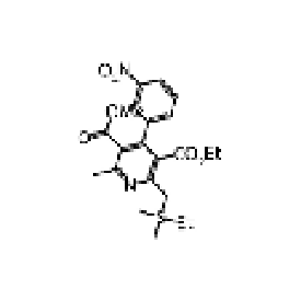 CCOC(=O)c1c(CS(C)(C)CC)nc(C)c(C(=O)OC)c1-c1cccc([N+](=O)[O-])c1